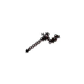 CC[C@H](C)[C@@H]([C@@H](CC(=O)N1CCC[C@H]1[C@H](OC)[C@@H](C)C(=O)N[C@@H](Cc1ccccc1)C(=O)NCc1ccc(NC(=O)[C@H](CCCNC(N)=O)NC[C@@H](NC(=O)COCC(=O)NCCOCCOCCOCCOCCOCCOCCOCCOCCN=[N+]=[N-])C(C)C)cc1)OC)N(C)C(=O)[C@@H](NC(=O)[C@H](C(C)C)N(C)C)C(C)C